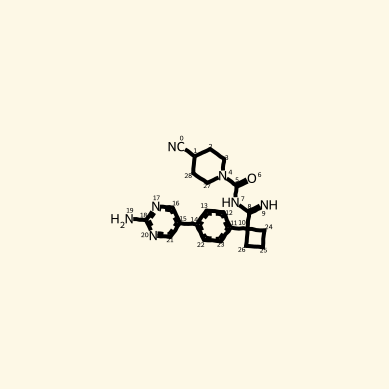 N#CC1CCN(C(=O)NC(=N)C2(c3ccc(-c4cnc(N)nc4)cc3)CCC2)CC1